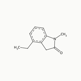 CCc1cccc2c1CC(=O)N2C